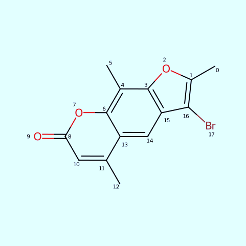 Cc1oc2c(C)c3oc(=O)cc(C)c3cc2c1Br